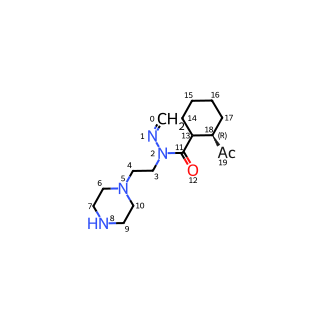 C=NN(CCN1CCNCC1)C(=O)C1CCCC[C@H]1C(C)=O